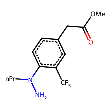 CCCN(N)c1ccc(CC(=O)OC)cc1C(F)(F)F